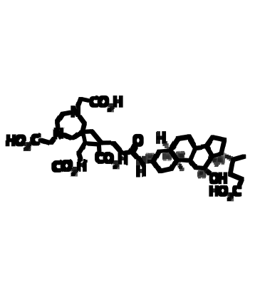 CC(CCC(=O)O)[C@H]1CCC2C3CC[C@@H]4C[C@@H](NC(=O)CCCCC5(C(CC(=O)O)CC(=O)O)CN(CC(=O)O)CCN(CC(=O)O)C5)CC[C@]4(C)C3C[C@H](O)[C@@]21C